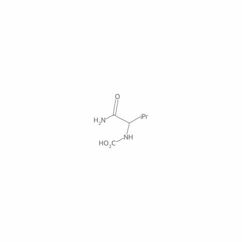 CC(C)C(NC(=O)O)C(N)=O